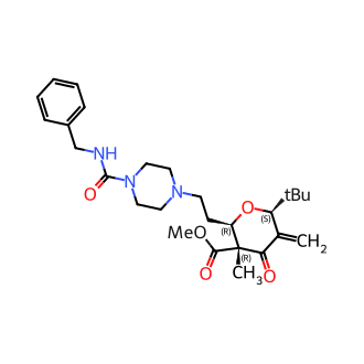 C=C1C(=O)[C@](C)(C(=O)OC)[C@@H](CCN2CCN(C(=O)NCc3ccccc3)CC2)O[C@H]1C(C)(C)C